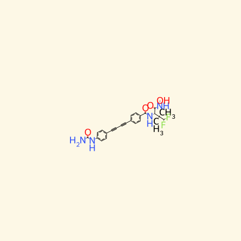 CC(C)(C(F)F)[C@H](NC(=O)c1ccc(C#CC#Cc2ccc(NC(N)=O)cc2)cc1)C(=O)NO